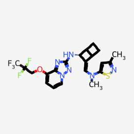 Cc1cc(N(C)/C=C2\C3CCC3[C@H]2Nc2nc3c(OCC(F)(F)C(F)(F)F)cccn3n2)sn1